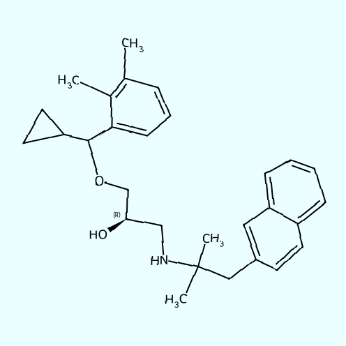 Cc1cccc(C(OC[C@H](O)CNC(C)(C)Cc2ccc3ccccc3c2)C2CC2)c1C